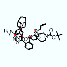 C=CCOC(=O)Oc1ccccc1-c1cc(N2CC3CCC(C2)N3c2ccnc(OCCN3CCN(C(=O)OC(C)(C)C)C[C@H]3C)c2)c(N)nn1